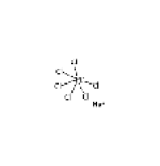 [Cl][Pt-]([Cl])([Cl])([Cl])([Cl])[Cl].[Na+]